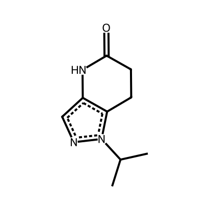 CC(C)n1ncc2c1CCC(=O)N2